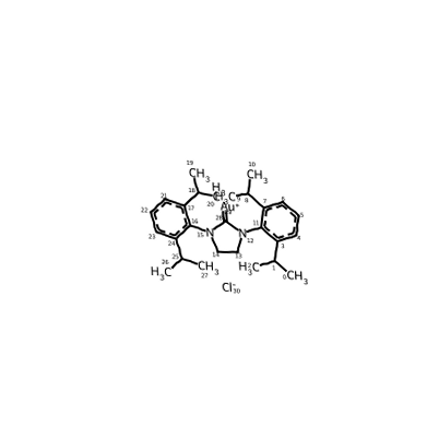 CC(C)c1cccc(C(C)C)c1N1CCN(c2c(C(C)C)cccc2C(C)C)[C]1=[Au+].[Cl-]